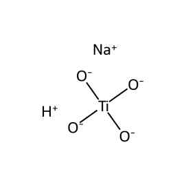 [H+].[Na+].[O-][Ti]([O-])([O-])[O-]